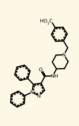 O=C(O)c1ccc(CN2CCC(NC(=O)c3cnn(-c4ccccc4)c3-c3ccccc3)CC2)cc1